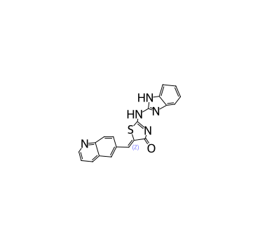 O=C1N=C(Nc2nc3ccccc3[nH]2)S/C1=C\c1ccc2ncccc2c1